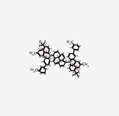 Cc1cccc(-c2ccc(N(C3=C4C=CC5=C6C(=CC=C(C=C3)C46)C(N(c3ccc(C(F)(F)F)cc3)c3ccc(-c4cccc(C)c4)cc3-c3cccc(C)c3)C=C5)c3ccc(C(F)(F)F)cc3)c(-c3cccc(C)c3)c2)c1